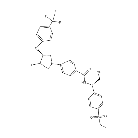 CCS(=O)(=O)c1ccc([C@H](CO)NC(=O)c2ccc(N3CC(F)[C@@H](Oc4ccc(C(F)(F)F)cc4)C3)cc2)cc1